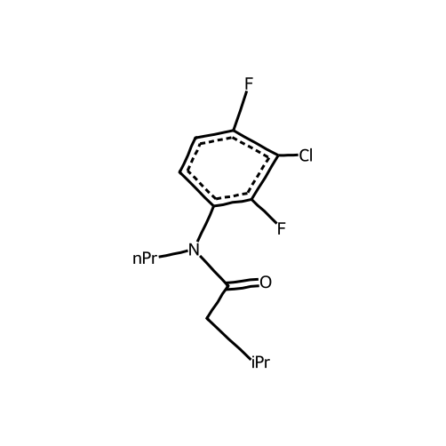 CCCN(C(=O)CC(C)C)c1ccc(F)c(Cl)c1F